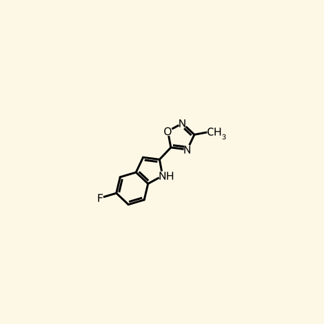 Cc1noc(-c2cc3cc(F)ccc3[nH]2)n1